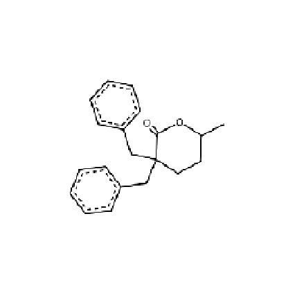 CC1CCC(Cc2ccccc2)(Cc2ccccc2)C(=O)O1